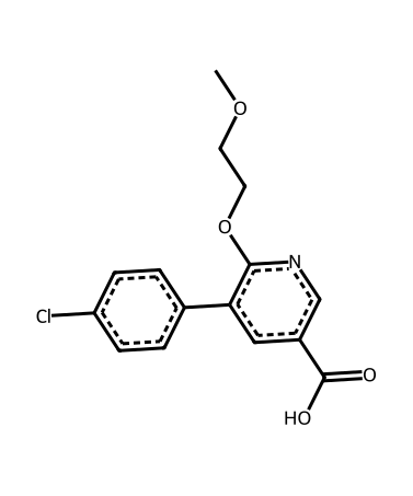 COCCOc1ncc(C(=O)O)cc1-c1ccc(Cl)cc1